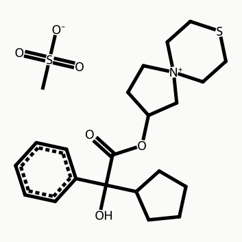 CS(=O)(=O)[O-].O=C(OC1CC[N+]2(CCSCC2)C1)C(O)(c1ccccc1)C1CCCC1